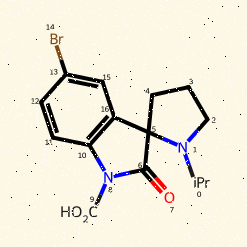 CC(C)N1CCCC12C(=O)N(C(=O)O)c1ccc(Br)cc12